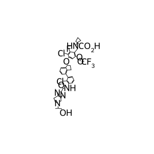 CC(CO)N1CCc2c(nc(C(=O)Nc3cccc(-c4cccc5c4CCC5Oc4cc(OOC(F)(F)F)c(CNC5(C(=O)O)CCC5)c(F)c4Cl)c3Cl)n2C)C1